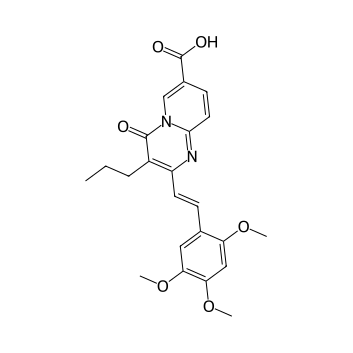 CCCc1c(C=Cc2cc(OC)c(OC)cc2OC)nc2ccc(C(=O)O)cn2c1=O